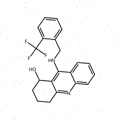 OC1CCCc2nc3ccccc3c(NCc3ccccc3C(F)(F)F)c21